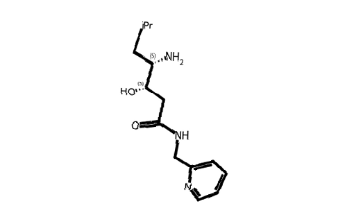 CC(C)C[C@H](N)[C@@H](O)CC(=O)NCc1ccccn1